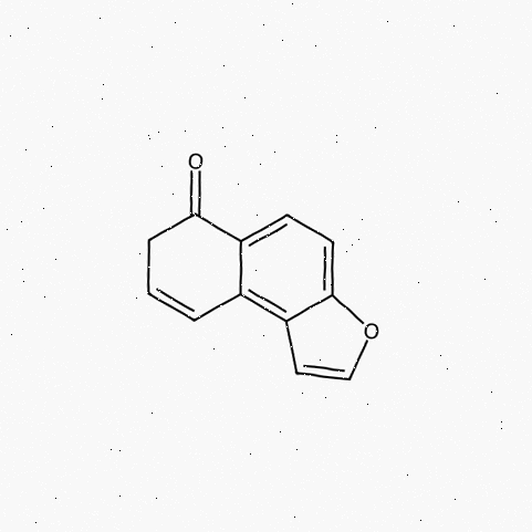 O=C1CC=Cc2c1ccc1occc21